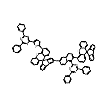 c1ccc(-c2nc(-c3ccccc3)nc(-c3ccc(-c4cccc5c4Oc4ccccc4C54c5ccccc5-c5cc(-c6ccc7c(-c8nc(-c9ccccc9)nc(-c9ccccc9)n8)c(-c8cccc9c8Oc8ccccc8C98c9ccccc9-c9ccccc98)ccc7c6)ccc54)s3)n2)cc1